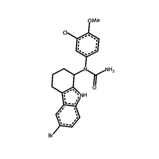 COc1ccc(N(C(N)=O)C2CCCc3c2[nH]c2ccc(Br)cc32)cc1Cl